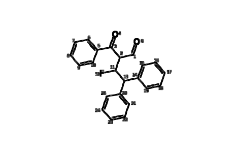 O=CC(C(=O)c1ccccc1)C(F)C(c1ccccc1)c1ccccc1